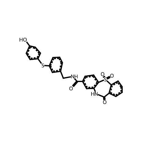 O=C(NCc1cccc(Sc2ccc(O)cc2)c1)c1ccc2c(c1)NC(=O)c1ccccc1S2(=O)=O